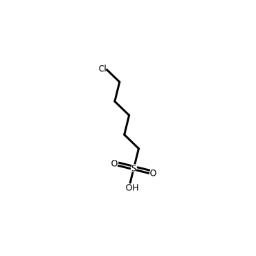 O=S(=O)(O)CCCCCCl